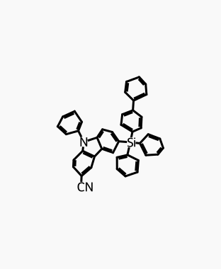 N#Cc1ccc2c(c1)c1cc([Si](c3ccccc3)(c3ccccc3)c3ccc(-c4ccccc4)cc3)ccc1n2-c1ccccc1